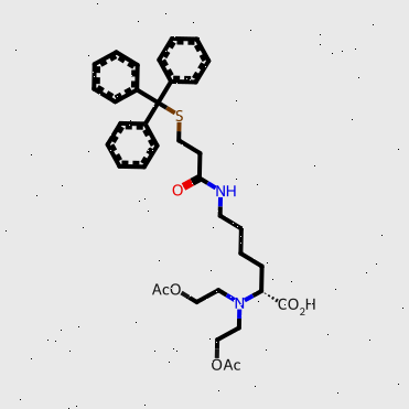 CC(=O)OCCN(CCOC(C)=O)[C@H](CCCCNC(=O)CCSC(c1ccccc1)(c1ccccc1)c1ccccc1)C(=O)O